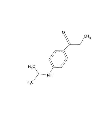 CCC(=O)c1ccc(NC(C)C)cc1